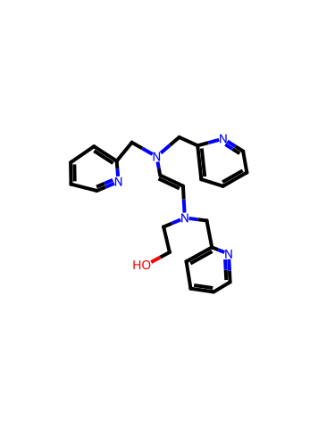 OCCN(C=CN(Cc1ccccn1)Cc1ccccn1)Cc1ccccn1